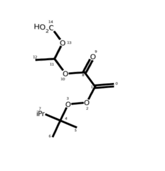 C=C(OOC(C)(C)C(C)C)C(=O)OC(C)OC(=O)O